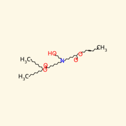 CCCCC#CCCCOCC(C=O)CCCCCCN(CCCCO)CCCCCCCC(=O)OC(CCCCCCCC)CCCCCCCC